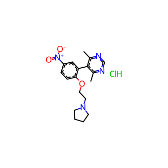 Cc1ncnc(C)c1-c1cc([N+](=O)[O-])ccc1OCCN1CCCC1.Cl